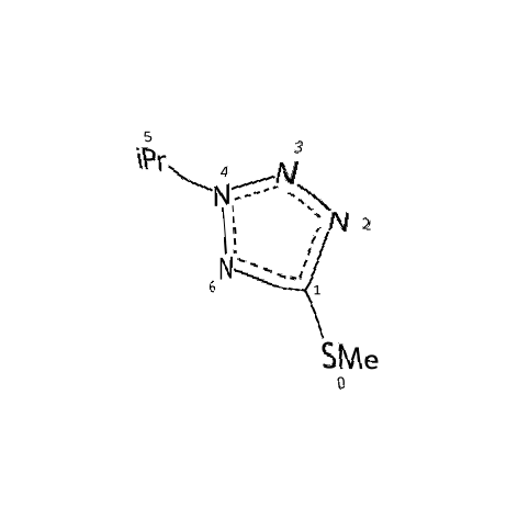 CSc1nnn(C(C)C)n1